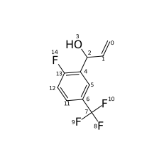 C=CC(O)c1cc(C(F)(F)F)ccc1F